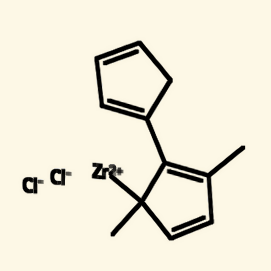 CC1=C(C2=CC=CC2)[C](C)([Zr+2])C=C1.[Cl-].[Cl-]